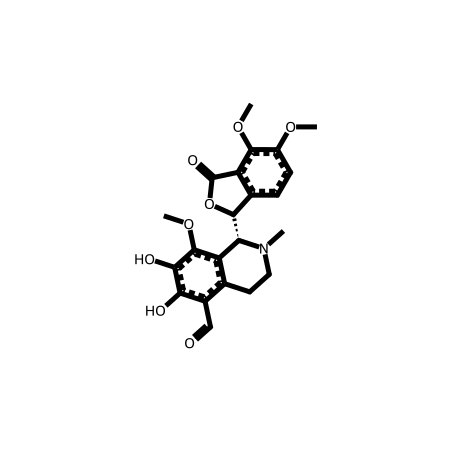 COc1ccc2c(c1OC)C(=O)OC2[C@H]1c2c(c(C=O)c(O)c(O)c2OC)CCN1C